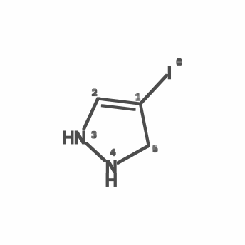 IC1=CNNC1